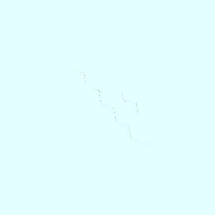 CCCCC(CC(=O)OCC)NC(C)=O